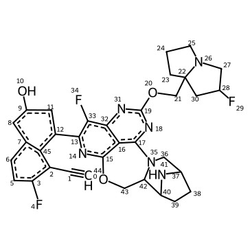 C#Cc1c(F)ccc2cc(O)cc(-c3nc4c5c(nc(OCC67CCCN6CC(F)C7)nc5c3F)N3CC5CCC(N5)C3CO4)c12